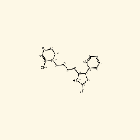 FC1CC(c2ccccn2)C(CCCCN2CC=CC=C2Cl)N1